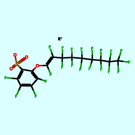 O=S(=O)([O-])c1c(F)c(F)c(F)c(F)c1OC(F)=C(F)C(F)(F)C(F)(F)C(F)(F)C(F)(F)C(F)(F)C(F)(F)C(F)(F)F.[K+]